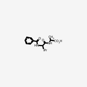 CC(NC(=O)C(NC(=O)c1ccccc1)C(C)C)C(=O)O